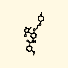 COc1cccc(C(=O)Nc2ccc(OCCOC3CCN(C)CC3)c(-c3c(Cl)cnn3C)c2)c1